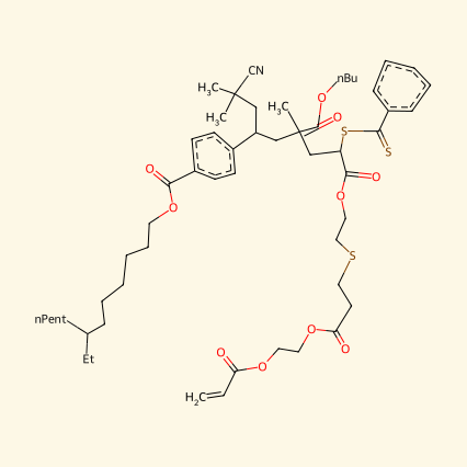 C=CC(=O)OCCOC(=O)CCSCCOC(=O)C(CC(C)(CC(CC(C)(C)C#N)c1ccc(C(=O)OCCCCCCC(CC)CCCCC)cc1)C(=O)OCCCC)SC(=S)c1ccccc1